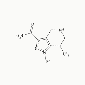 CC(C)n1nc(C(N)=O)c2c1C(C(F)(F)F)CNC2